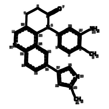 Cc1ccc(N2C(=O)CCc3cnc4ccc(-c5cnn(C)c5)cc4c32)cc1N